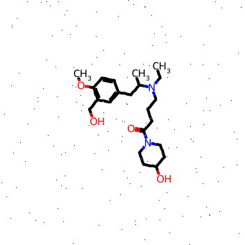 CCN(CCCC(=O)N1CCC(O)CC1)C(C)Cc1ccc(OC)c(CO)c1